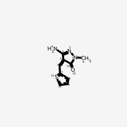 CN1N=C(N)/C(=C/c2cccs2)C1=O